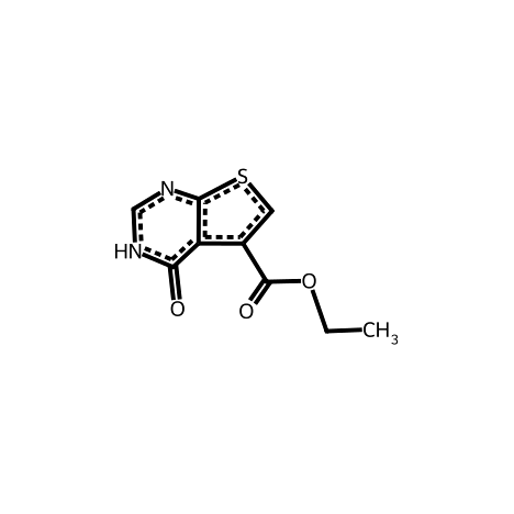 CCOC(=O)c1csc2nc[nH]c(=O)c12